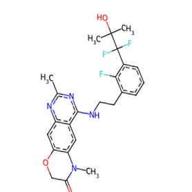 Cc1nc(NCCc2cccc(C(F)(F)C(C)(C)O)c2F)c2cc3c(cc2n1)OCC(=O)N3C